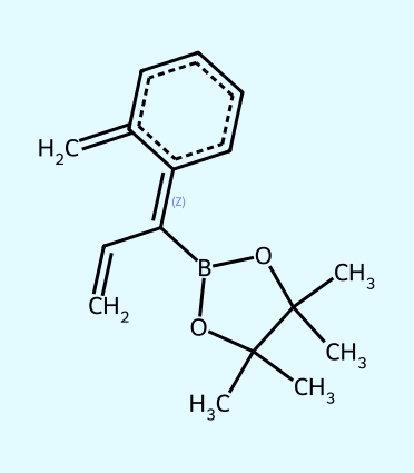 C=C/C(B1OC(C)(C)C(C)(C)O1)=c1/ccccc1=C